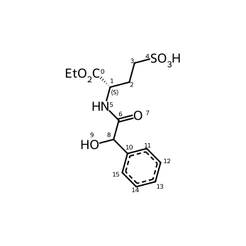 CCOC(=O)[C@H](CCS(=O)(=O)O)NC(=O)C(O)c1ccccc1